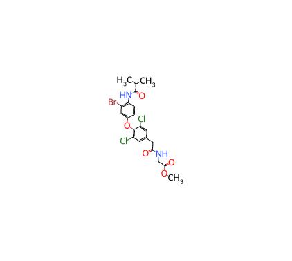 COC(=O)CNC(=O)Cc1cc(Cl)c(Oc2ccc(NC(=O)C(C)C)c(Br)c2)c(Cl)c1